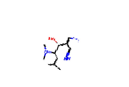 CC(C)C[C@@H]([C@H](O)/C(C=N)=C/N)N(C)C